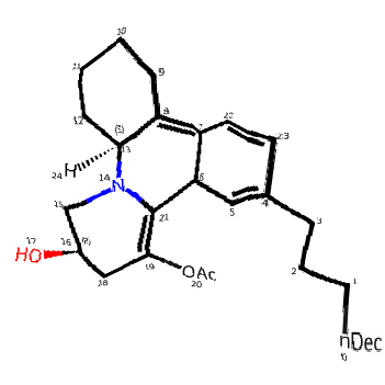 CCCCCCCCCCCCCC1=CC2C(=C3CCCC[C@@H]3N3C[C@H](O)CC(OC(C)=O)=C23)C=C1